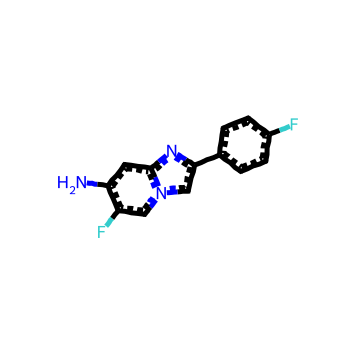 Nc1cc2nc(-c3ccc(F)cc3)cn2cc1F